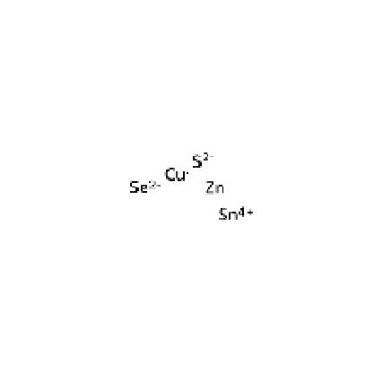 [Cu].[S-2].[Se-2].[Sn+4].[Zn]